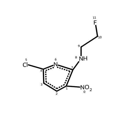 O=[N+]([O-])c1ccc(Cl)nc1NCCF